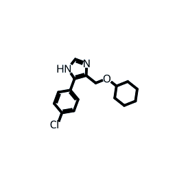 Clc1ccc(-c2[nH]cnc2COC2CCCCC2)cc1